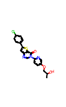 CC(O)COc1ccc(-n2cnc3cc(-c4ccc(Cl)cc4)sc3c2=O)nc1